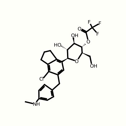 CNc1ccc(Cc2cc([C@@H]3O[C@H](CO)[C@@H](OC(=O)C(F)(F)F)[C@H](O)[C@H]3O)c3c(c2Cl)CCC3)cc1